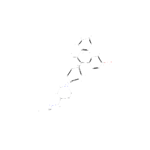 CCC(=C(c1ccc(O)cc1)c1ccc(N2CCC(CNC(=O)O)CC2)cc1)c1ccccc1